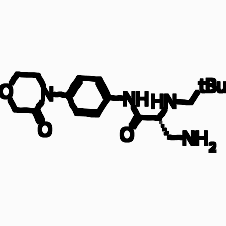 CC(C)(C)CN[C@H](CN)C(=O)Nc1ccc(N2CCOCC2=O)cc1